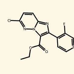 CCOC(=O)c1c(-c2ccncc2F)nc2ccc(Cl)nn12